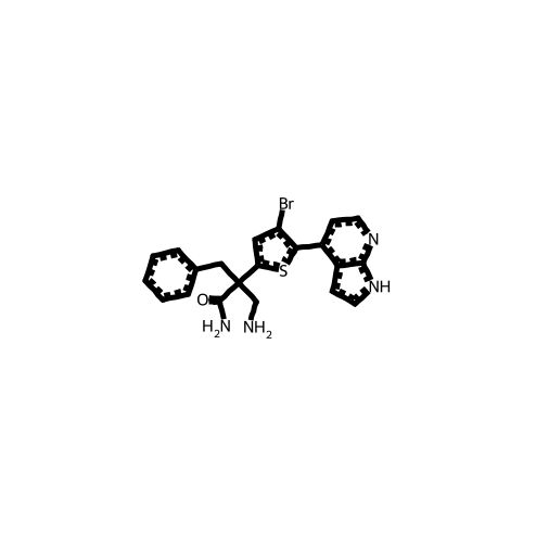 NCC(Cc1ccccc1)(C(N)=O)c1cc(Br)c(-c2ccnc3[nH]ccc23)s1